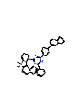 C[Si]1(C)c2cccc(-c3nc(-c4ccccc4)nc(-c4ccc(-c5ccc6ccccc6c5)cc4)n3)c2-c2c1ccc1ccccc21